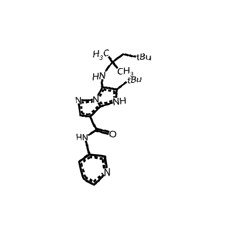 CC(C)(C)CC(C)(C)Nc1c(C(C)(C)C)[nH]c2c(C(=O)Nc3cccnc3)cnn12